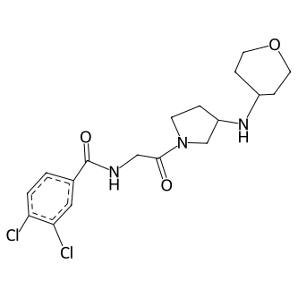 O=C(NCC(=O)N1CCC(NC2CCOCC2)C1)c1ccc(Cl)c(Cl)c1